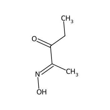 CCC(=O)/C(C)=N/O